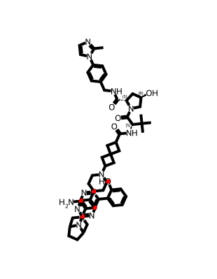 Cc1nccn1-c1ccc(CNC(=O)[C@@H]2C[C@@H](O)CN2C(=O)[C@@H](NC(=O)C2CC3(C2)CC(N2CCC(c4cnc(N5C6CCC5CN(c5cc(-c7ccccc7O)nnc5N)C6)nc4)CC2)C3)C(C)(C)C)cc1